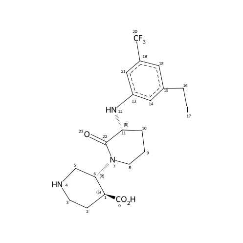 O=C(O)[C@H]1CCNC[C@@H]1N1CCC[C@@H](Nc2cc(CI)cc(C(F)(F)F)c2)C1=O